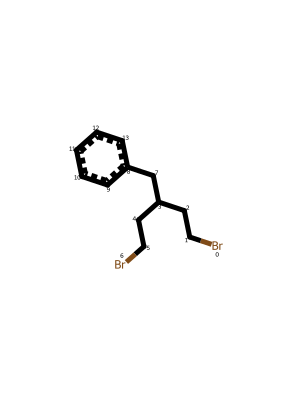 BrCCC(CCBr)Cc1ccccc1